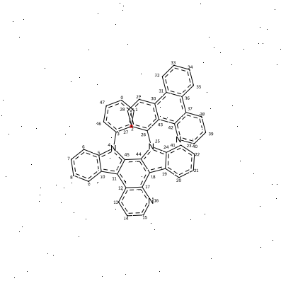 c1ccc(-n2c3ccccc3c3c4cccnc4c4c5ccccc5n(-c5cccc6c7ccccc7c7cccnc7c56)c4c32)cc1